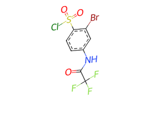 O=C(Nc1ccc(S(=O)(=O)Cl)c(Br)c1)C(F)(F)F